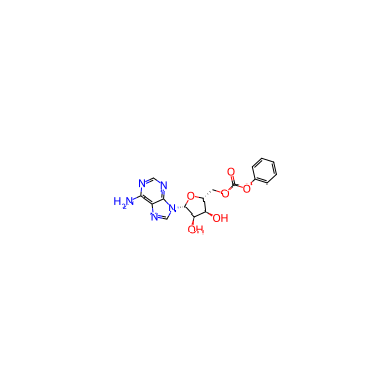 Nc1ncnc2c1ncn2[C@@H]1O[C@H](COC(=O)Oc2ccccc2)[C@@H](O)[C@H]1O